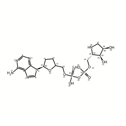 Nc1ncnc2c1ncn2[C@H]1CCC(COP(=O)(O)OP(=O)(O)OC[C@@H]2NC[C@@H](O)[C@H]2O)O1